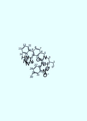 CCCCN(Cc1ccc(-c2ccccc2)c(-c2nnn[nH]2)c1)C(=O)Nc1ccc(C)cc1[N+](=O)[O-]